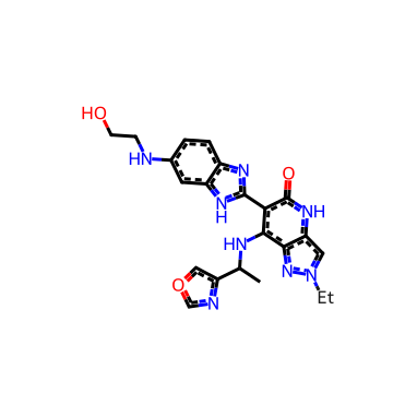 CCn1cc2[nH]c(=O)c(-c3nc4ccc(NCCO)cc4[nH]3)c(NC(C)c3cocn3)c2n1